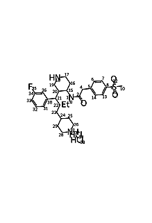 CCN(C(=O)Cc1ccc(S(C)(=O)=O)cc1)C1CCNCC1C(CCC1CCNCC1)c1cccc(F)c1.Cl.Cl